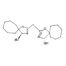 CC(C)(C)[C@@H]1N=C(CC2=N[C@@H](C(C)(C)C)C3(CCCCCC3)O2)OC12CCCCCC2